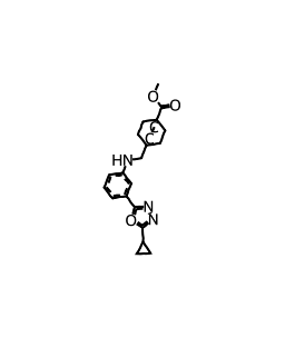 COC(=O)C12CCC(CNc3cccc(-c4nnc(C5CC5)o4)c3)(CC1)CC2